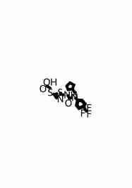 O=C(O)CSc1cnc(NC(=O)N(CC2CCCC2)c2ccc(C(F)(F)F)cc2)s1